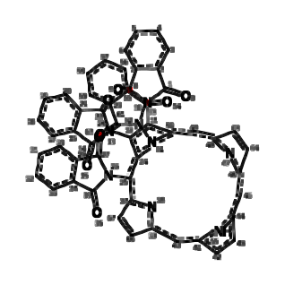 O=C1c2ccccc2C(=O)N1c1c(N2C(=O)c3ccccc3C2=O)c2c(N3C(=O)c4ccccc4C3=O)c3nc(cc4ccc(cc5nc(cc1n2N1C(=O)c2ccccc2C1=O)C=C5)[nH]4)C=C3